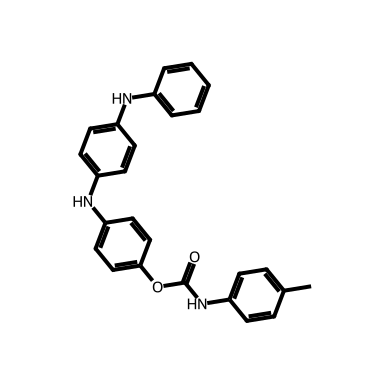 Cc1ccc(NC(=O)Oc2ccc(Nc3ccc(Nc4ccccc4)cc3)cc2)cc1